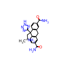 C[C@@H](N)CC1(c2nn[nH]n2)c2ccc(C(N)=O)cc2Cc2cc(C(N)=O)ccc21